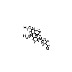 Cc1nc(N(C)c2cccc(Oc3ncc(C=O)cn3)c2)c2ccccc2n1